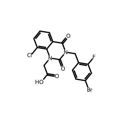 O=C(O)Cn1c(=O)n(Cc2ccc(Br)cc2F)c(=O)c2cccc(Cl)c21